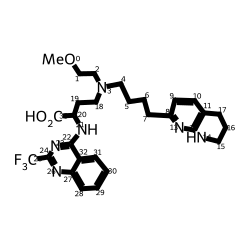 COCCN(CCCCc1ccc2c(n1)NCCC2)CCC(Nc1nc(C(F)(F)F)nc2ccccc12)C(=O)O